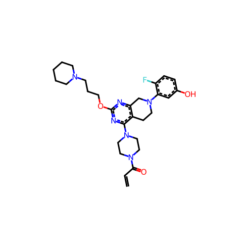 C=CC(=O)N1CCN(c2nc(OCCCN3CCCCC3)nc3c2CCN(c2cc(O)ccc2F)C3)CC1